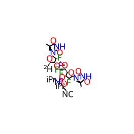 [2H]C[C@H]1O[C@@H](n2cc(C)c(=O)[nH]c2=O)[C@H](F)[C@@H]1OP(C)(=O)C(F)(F)C[C@H]1O[C@@H](n2cc(C)c(=O)[nH]c2=O)[C@H](F)[C@@H]1OP(OCC[N+]#[C-])N(C(C)C)C(C)C